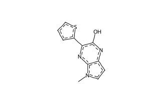 Cn1ccc2nc(O)c(-c3cccs3)nc21